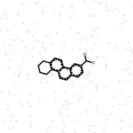 ClC(Cl)c1ccc2ccc3c4c(ccc3c2c1)CCCC4